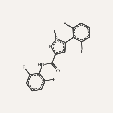 Cn1nc(C(=O)Nc2c(F)cccc2F)cc1-c1c(F)cccc1F